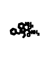 CCc1c(C(=O)C(N)=O)c2c(N)cccc2n1Cc1ccccc1